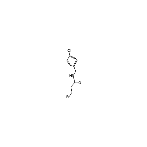 CC(C)CCC(=O)NCc1ccc(Cl)cc1